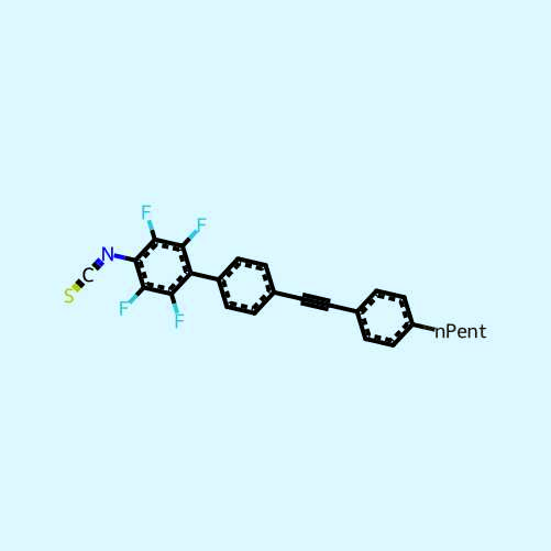 CCCCCc1ccc(C#Cc2ccc(-c3c(F)c(F)c(N=C=S)c(F)c3F)cc2)cc1